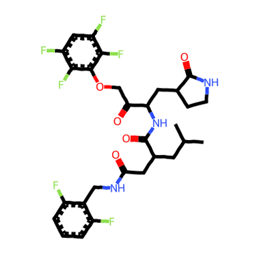 CC(C)CC(CC(=O)NCc1c(F)cccc1F)C(=O)NC(CC1CCNC1=O)C(=O)COc1c(F)c(F)cc(F)c1F